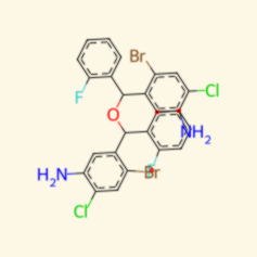 Nc1cc(C(OC(c2ccccc2F)c2cc(N)c(Cl)cc2Br)c2ccccc2F)c(Br)cc1Cl